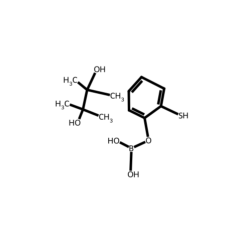 CC(C)(O)C(C)(C)O.OB(O)Oc1ccccc1S